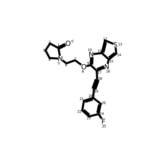 O=C1CCCN1CCOc1nc2cscc2nc1C#Cc1cccc(F)c1